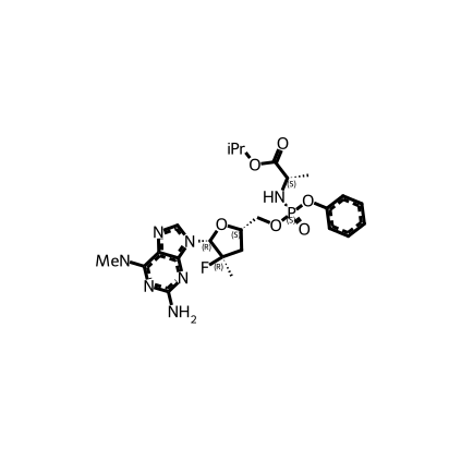 CNc1nc(N)nc2c1ncn2[C@@H]1O[C@H](CO[P@@](=O)(N[C@@H](C)C(=O)OC(C)C)Oc2ccccc2)C[C@@]1(C)F